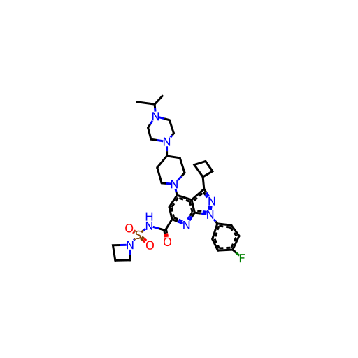 CC(C)N1CCN(C2CCN(c3cc(C(=O)NS(=O)(=O)N4CCC4)nc4c3c(C3CCC3)nn4-c3ccc(F)cc3)CC2)CC1